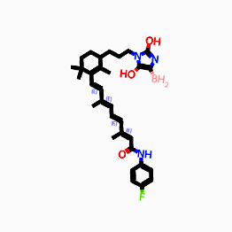 Bc1nc(O)n(CCCC2CCC(C)(C)C(/C=C/C(C)=C/C=C/C(C)=C/C(=O)Nc3ccc(F)cc3)=C2C)c1O